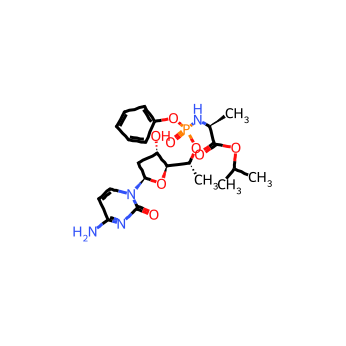 CC(C)OC(=O)[C@H](C)NP(=O)(Oc1ccccc1)O[C@H](C)[C@H]1O[C@@H](n2ccc(N)nc2=O)C[C@@H]1O